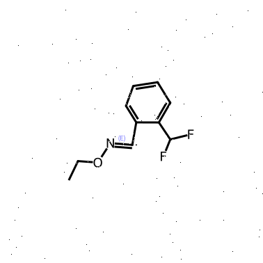 CCO/N=[C]/c1ccccc1C(F)F